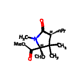 CCC[C@H]1C(=O)N(C)[C@@](C=O)(C(=O)OC)C1(C)C